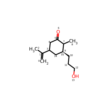 C=C(C)C1CC(=O)C(C)[C@@H](CCCO)C1